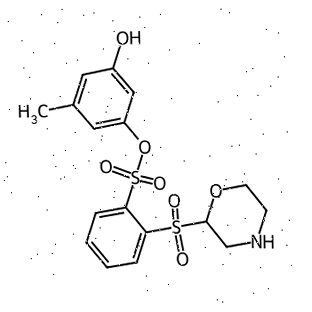 Cc1cc(O)cc(OS(=O)(=O)c2ccccc2S(=O)(=O)C2CNCCO2)c1